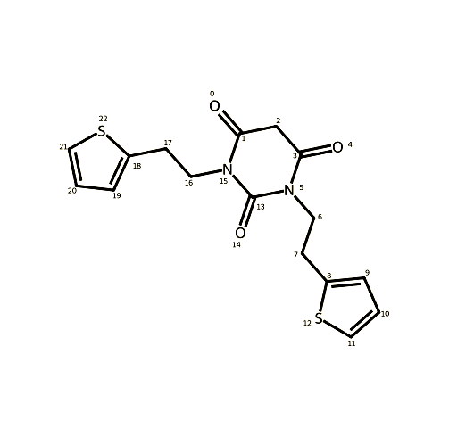 O=C1CC(=O)N(CCc2cccs2)C(=O)N1CCc1cccs1